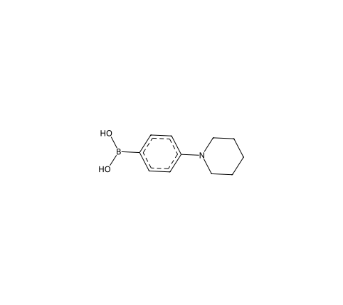 OB(O)c1ccc(N2CCCCC2)cc1